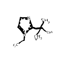 CC(C)(O)c1n[c]cn1CC(F)(F)F